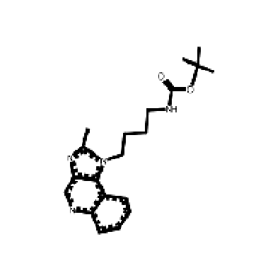 Cc1nc2cnc3ccccc3c2n1CCCCNC(=O)OC(C)(C)C